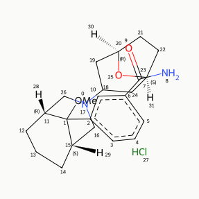 COC1(c2cccc(C(N)=O)c2)[C@@H]2CCC[C@H]1CN(C1C[C@H]3CC[C@@H](C1)O3)C2.Cl